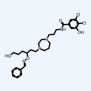 O=C(NCCCN1CCCN(CCC(CCCO)O/N=C/c2ccccc2)CC1)c1cc(O)c(Cl)c(Cl)c1